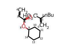 C=C(CCCC)C(=O)O.C=CC(=O)OC1CCCCC1